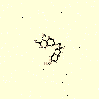 CCCN1C(=O)SCc2cc(NS(=O)(=O)Cc3ccc(C)cc3)ccc21